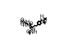 CC(=O)Nc1nc(CCc2ccc(NC(C(C)(C)C)C(C)(C)C)cc2)c(C(=O)NCCNS(C)(=O)=O)s1